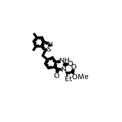 CC[C@H](C(=O)OC)n1c(=O)[nH]c2cc(Cc3snc4cc(C)cc(C)c34)ccc2c1=O